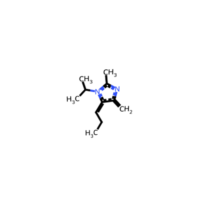 C=c1nc(C)n(C(C)C)/c1=C/CC